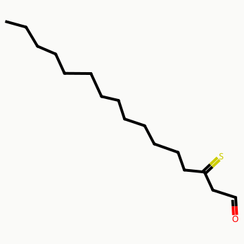 CCCCCCCCCCCCCC(=S)CC=O